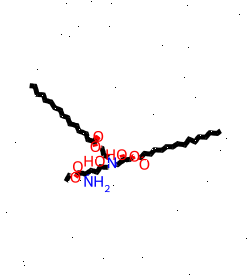 CCCCCCCCCCCCCCCC(=O)OCC(O)CN(CCCCC(N)C(=O)OCC)CC(O)COC(=O)CCCCCCCCCCCCCCC